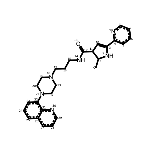 CC1NC(c2ccccn2)=CC1C(=O)NCCCN1CCN(c2cccc3cccnc23)CC1